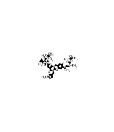 CN(C[CH2][Au]([CH3])[C](=O)OC(C)(C)C)c1ccc(Cn2c(=O)n(Cc3cnn(C)c3)c(=O)c3cc(S(=O)(=O)N(C(=O)OC(C)(C)C)C4(C)CC4)sc32)cc1F